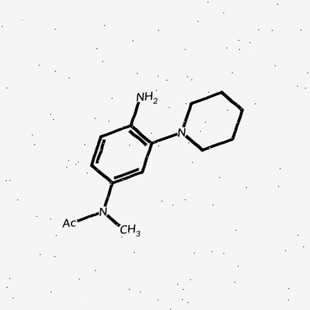 CC(=O)N(C)c1ccc(N)c(N2CCCCC2)c1